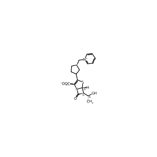 C[C@@H](O)[C@H]1C(=O)N2C(C(=O)[O-])=C(C3CCC(C[n+]4ccccc4)C3)S[C@H]12